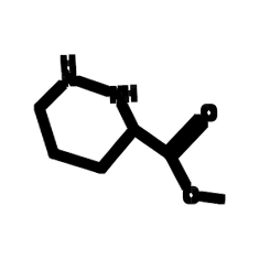 COC(=O)C1CCCNN1